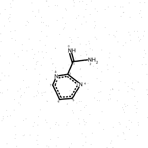 N=C(N)c1n[c]ccn1